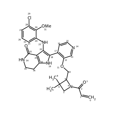 C=CC(=O)N1CC(C)(C)C1COc1cnccc1-c1[nH]c2c(c1Nc1cccc(Cl)c1OC)C(=O)NCC2